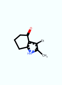 CCc1c(C)[nH]c2c1C(=O)CCC2